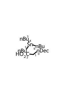 CCCCCCCCCCCC(=O)O.CCC[CH2][Sn]([CH2]CCC)[CH2]CCC